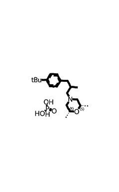 CC(Cc1ccc(C(C)(C)C)cc1)CN1C[C@@H](C)O[C@@H](C)C1.O=[PH](O)O